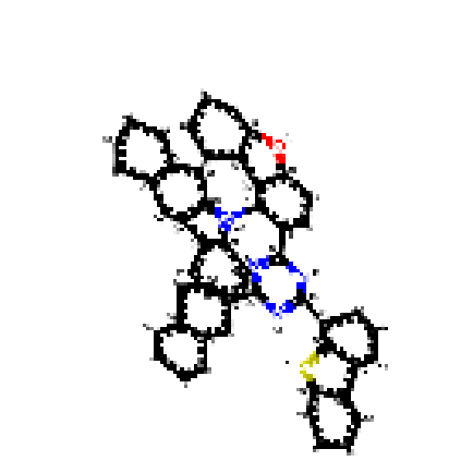 c1ccc2cc(-c3nc(-c4ccc5oc6ccccc6c5c4-n4c5ccccc5c5cc6ccccc6cc54)nc(-c4cccc5c4sc4ccccc45)n3)ccc2c1